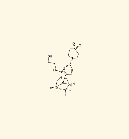 CC1(C)C[C@@H]2CN(C(=O)NCCO)C[C@H]1N(c1ccc(N3CCS(=O)(=O)CC3)cc1)C2